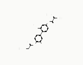 C=C(C)C(=O)Oc1ccc(-c2ccc(OC(=O)CC)c(F)c2)c(OC)c1